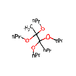 [CH2]CCC(OCCC)(OCCC)C([CH2])(OCCC)OCCC